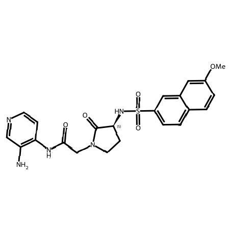 COc1ccc2ccc(S(=O)(=O)N[C@H]3CCN(CC(=O)Nc4ccncc4N)C3=O)cc2c1